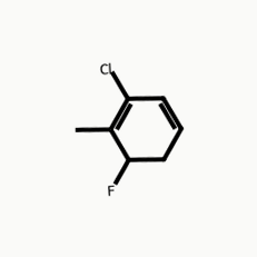 CC1=C(Cl)C=CCC1F